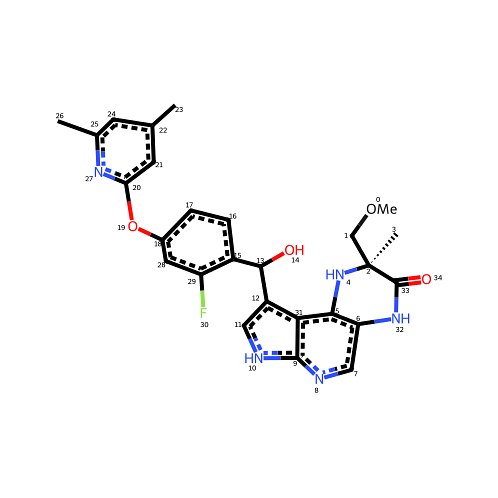 COC[C@]1(C)Nc2c(cnc3[nH]cc(C(O)c4ccc(Oc5cc(C)cc(C)n5)cc4F)c23)NC1=O